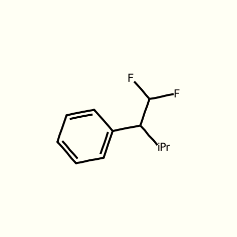 CC(C)C(c1ccccc1)C(F)F